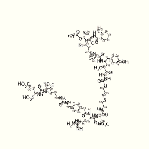 CCCC(=O)OCN(C(=O)[C@@H](NC(=O)[C@H]1CCCCN1C)C(C)CC)[C@H](CCc1nc(C(=O)N[C@@H](Cc2ccc(O)cc2)C[C@H](C)C(=O)NNC(=O)OCCSSCCNC(=O)[C@H](CC(=O)O)NC(=O)[C@H](CCCNC(=N)N)NC(=O)Cc2ccc(CNC(=O)NCCCC[C@@H](NC(=O)N[C@@H](CCC(=O)O)C(=O)O)C(=O)O)cc2)cs1)C(C)C